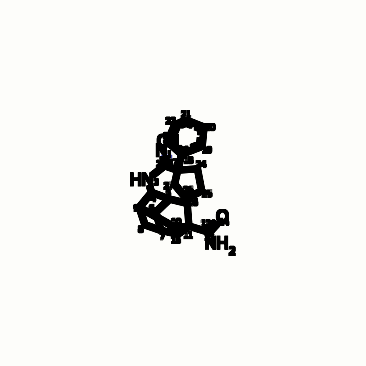 N#C/N=C(/NC1C2CC3CC1CC(C(N)=O)(C3)C2)C1(c2ccccc2)CCCC1